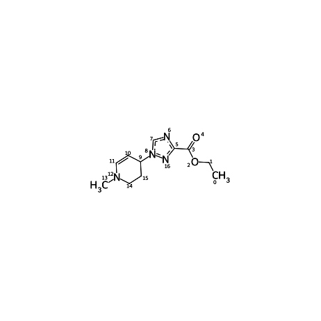 CCOC(=O)c1ncn(C2C=CN(C)CC2)n1